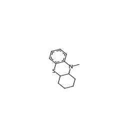 CN1c2ccccc2SC2CCCCC21